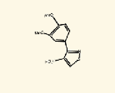 COc1ccc(-c2nscc2C(=O)O)cc1OC